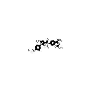 COc1ccc(-n2c(C)cc(C(=O)Nc3ccc(/C(N)=N\C(=O)O)cc3)c2C)cc1